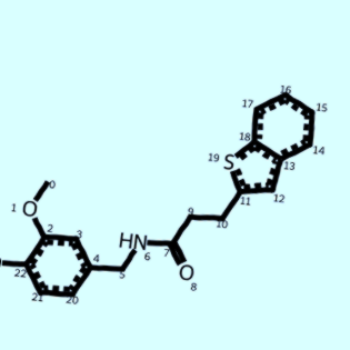 COc1cc(CNC(=O)CCc2cc3ccccc3s2)ccc1O